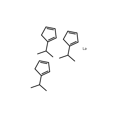 CC(C)C1=CC=CC1.CC(C)C1=CC=CC1.CC(C)C1=CC=CC1.[La]